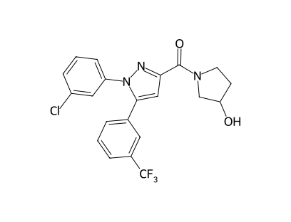 O=C(c1cc(-c2cccc(C(F)(F)F)c2)n(-c2cccc(Cl)c2)n1)N1CCC(O)C1